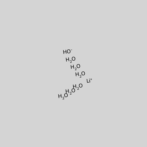 O.O.O.O.O.O.[Li+].[OH-]